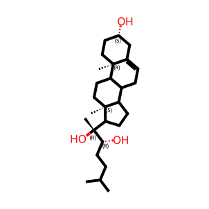 CC(C)CC[C@@H](O)[C@](C)(O)C1CCC2C3CC=C4C[C@@H](O)CC[C@]4(C)C3CC[C@@]21C